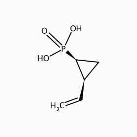 C=C[C@@H]1C[C@@H]1P(=O)(O)O